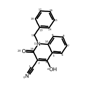 N#Cc1c(O)c2ccccc2n(Cc2ccccc2)c1=O